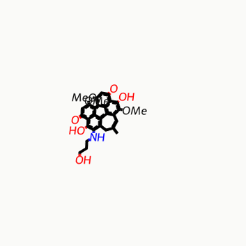 COc1c(O)c2c(=O)cc(OC)c3c4c(OC)cc(=O)c5c(O)c(NCCCO)c6c(c(c1C=C(C)C6)c23)c54